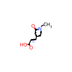 CCn1ccc(/C=C/C(=O)O)cc1=O